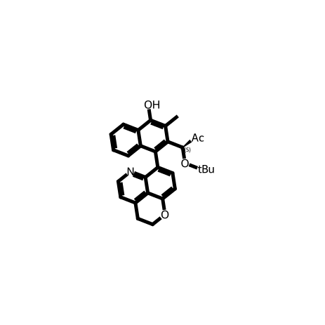 CC(=O)[C@@H](OC(C)(C)C)c1c(C)c(O)c2ccccc2c1-c1ccc2c3c(ccnc13)CCO2